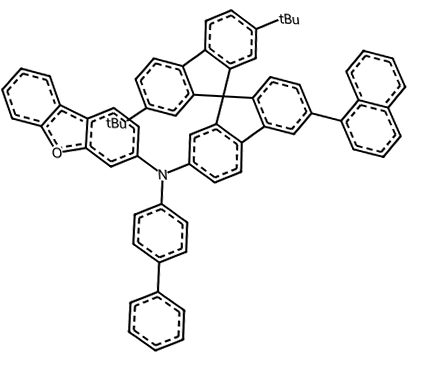 CC(C)(C)c1ccc2c(c1)C1(c3ccc(-c4cccc5ccccc45)cc3-c3ccc(N(c4ccc(-c5ccccc5)cc4)c4ccc5c(c4)oc4ccccc45)cc31)c1cc(C(C)(C)C)ccc1-2